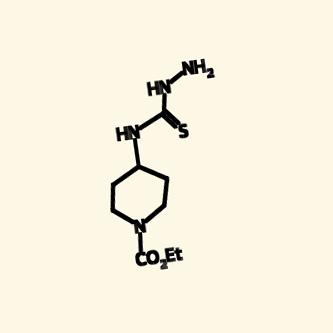 CCOC(=O)N1CCC(NC(=S)NN)CC1